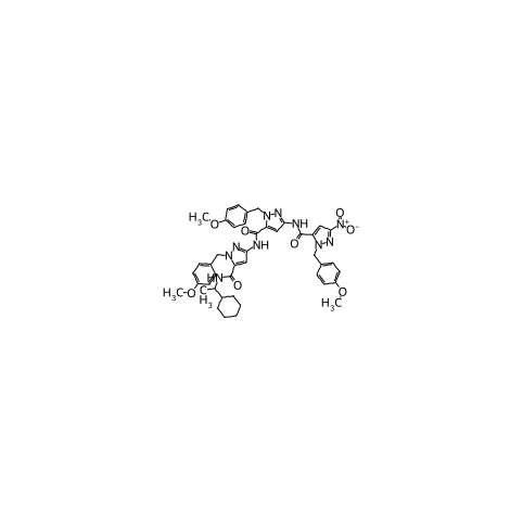 COc1ccc(Cn2nc(NC(=O)c3cc([N+](=O)[O-])nn3Cc3ccc(OC)cc3)cc2C(=O)Nc2cc(C(=O)NC(C)C3CCCCC3)n(Cc3ccc(OC)cc3)n2)cc1